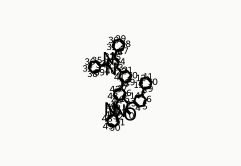 O=C1C(c2cccc(-c3ccccc3)c2)c2cc(-c3cccc(-c4cc(-c5ccccc5)nc(-c5ccccc5)n4)c3)ccc2-c2nc3ccccc3n21